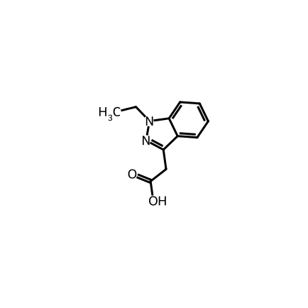 CCn1nc(CC(=O)O)c2ccccc21